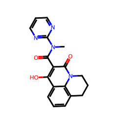 CN(C(=O)c1c(O)c2cccc3c2n(c1=O)CCC3)c1ncccn1